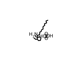 CCCCCCCCCCCC(N)C1(CC)CCCCC1CC.O=S(=O)(O)O